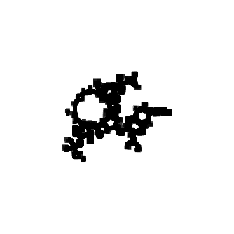 CC[C@@H]1C[C@H](C)CC/C=C\[C@@H]2C[C@@]2(C(=O)NS(=O)(=O)C2CC2)NC(=O)[C@@H]2C[C@@H](Oc3nc4ccc(OC)cc4nc3N(C)C)CN2C(=O)C1NC(=O)OC(C)(C)C(F)(F)F